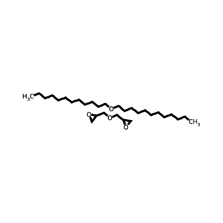 C(OCC1CO1)C1CO1.CCCCCCCCCCCCOCCCCCCCCCCCC